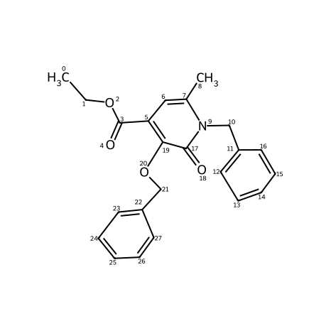 CCOC(=O)c1cc(C)n(Cc2ccccc2)c(=O)c1OCc1ccccc1